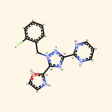 Fc1ccccc1Cn1nc(-c2ncccn2)nc1-c1ncco1